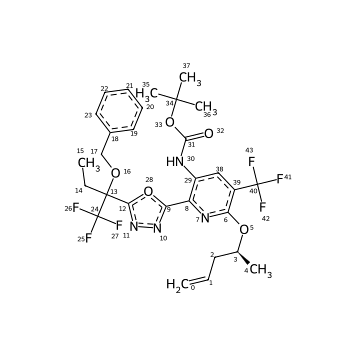 C=CC[C@H](C)Oc1nc(-c2nnc(C(CC)(OCc3ccccc3)C(F)(F)F)o2)c(NC(=O)OC(C)(C)C)cc1C(F)(F)F